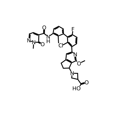 COc1nc(-c2ccc(F)c(-c3cccc(NC(=O)c4ccnn(C)c4=O)c3C)c2Cl)cc2c1C(N1CC(C(=O)O)C1)CC2